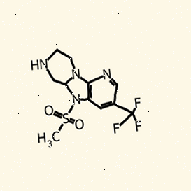 CS(=O)(=O)N1c2cc(C(F)(F)F)cnc2N2CCNCC21